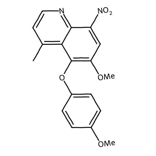 COc1ccc(Oc2c(OC)cc([N+](=O)[O-])c3nccc(C)c23)cc1